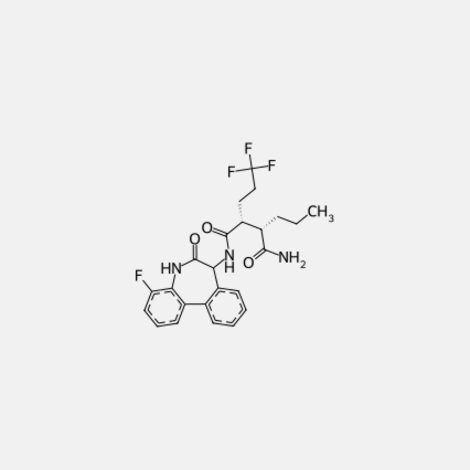 CCC[C@H](C(N)=O)[C@@H](CCC(F)(F)F)C(=O)NC1C(=O)Nc2c(F)cccc2-c2ccccc21